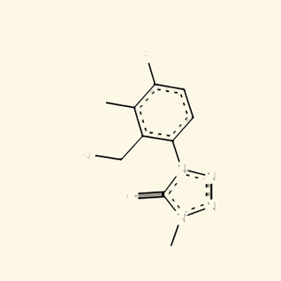 Cc1c(F)ccc(-n2nnn(C)c2=O)c1CBr